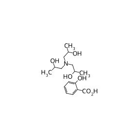 CC(O)CN(CC(C)O)CC(C)O.O=C(O)c1ccccc1O